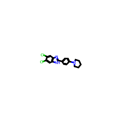 Clc1cc2nc(-c3ccc(N4CCCCC4)cc3)[nH]c2cc1Cl